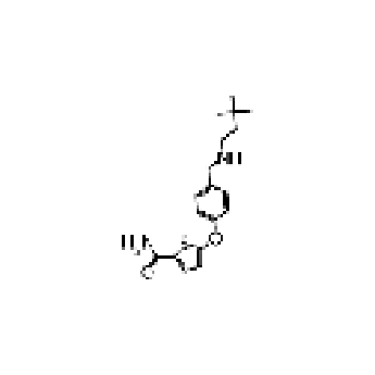 CC(C)(C)CCNCc1ccc(Oc2ccc(C(N)=O)s2)cc1